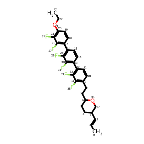 C/C=C/C1CCC(CCc2ccc(-c3ccc(-c4ccc(OCC)c(F)c4F)c(F)c3F)c(F)c2F)OC1